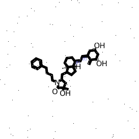 C=C1/C(=C\C=C2/CCC[C@]3(C)C(CC4CC(C)(O)C(=O)N4CCCCc4ccccc4)CC[C@@H]23)C[C@@H](O)C[C@@H]1O